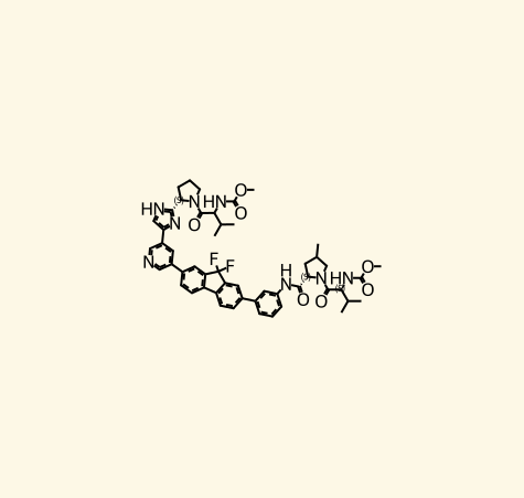 COC(=O)NC(C(=O)N1CCC[C@H]1c1nc(-c2cncc(-c3ccc4c(c3)C(F)(F)c3cc(-c5cccc(NC(=O)[C@@H]6CC(C)CN6C(=O)[C@@H](NC(=O)OC)C(C)C)c5)ccc3-4)c2)c[nH]1)C(C)C